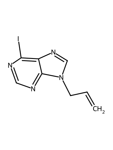 C=CCn1cnc2c(I)ncnc21